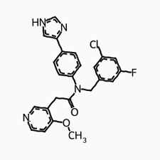 COc1ccncc1CC(=O)N(Cc1cc(F)cc(Cl)c1)c1ccc(-c2c[nH]cn2)cc1